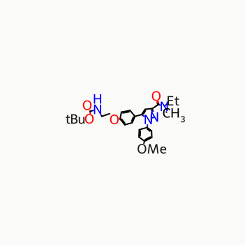 CCN(C)C(=O)c1cc(-c2ccc(OCCNC(=O)OC(C)(C)C)cc2)n(-c2ccc(OC)cc2)n1